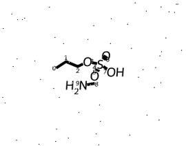 CCCOS(=O)(=O)O.CN